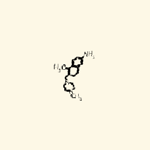 CC1=C(CN2CCN(C)CC2)CCc2cc(N)ccc21